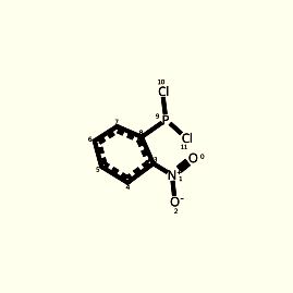 O=[N+]([O-])c1ccccc1P(Cl)Cl